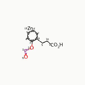 O=POc1ccccc1CCC(=O)O.[Zn]